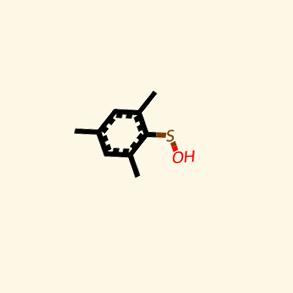 Cc1cc(C)c(SO)c(C)c1